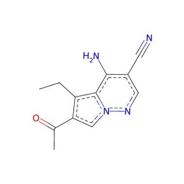 CCc1c(C(C)=O)cn2ncc(C#N)c(N)c12